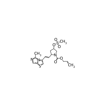 C=CCOC(=O)N1CC(OS(C)(=O)=O)CC1C=Cc1csc2cnc(C)n12